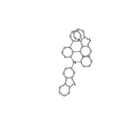 c1ccc(-c2cccc(N(c3ccccc3)c3ccc4c(c3)sc3ccccc34)c2-c2cccc3sc4ccccc4c23)cc1